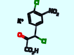 O=C(O)C(=O)C(Cl)c1ccc(Cl)c([N+](=O)[O-])c1.[K+]